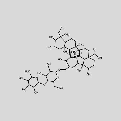 CC1OC(OC2C(CO)OC(OCC3OC(C4(C)C(C)CCC5(C(=O)O)CCC6(C)C(=CCC7C8(C)CC(O)C(O)C(C)(CO)C8CCC76C)C54)C(O)C(O)C3O)C(O)C2O)C(O)C(O)C1O